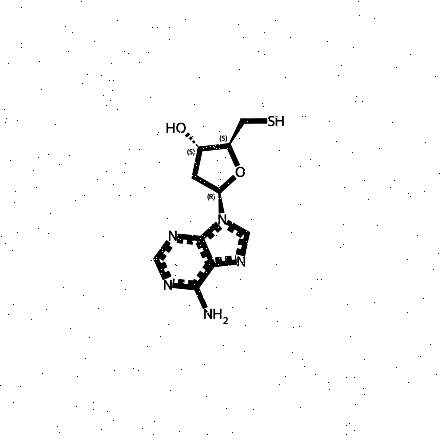 Nc1ncnc2c1ncn2[C@H]1C[C@H](O)[C@@H](CS)O1